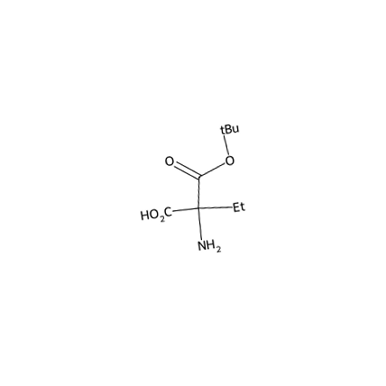 CCC(N)(C(=O)O)C(=O)OC(C)(C)C